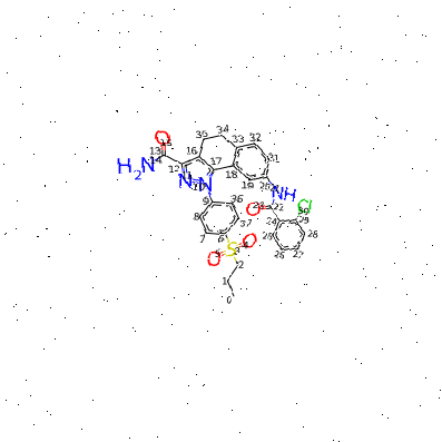 CCCS(=O)(=O)c1ccc(-n2nc(C(N)=O)c3c2-c2cc(NC(=O)c4ccccc4Cl)ccc2CC3)cc1